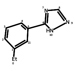 CCc1cccc(-c2ncn[nH]2)c1